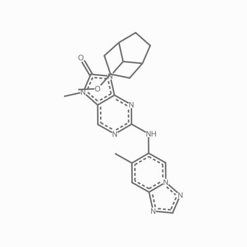 COC1CC2CCC(C1)C2n1c(=O)n(C)c2cnc(Nc3cn4ncnc4cc3C)nc21